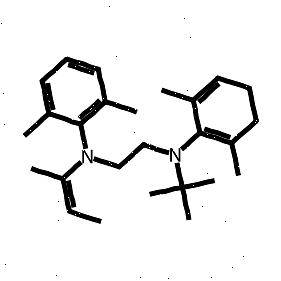 C/C=C(/C)N(CCN(C1=C(C)CCC=C1C)C(C)(C)C)c1c(C)cccc1C